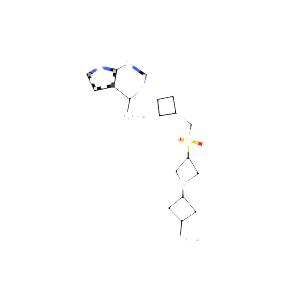 CNC1c2cc[nH]c2N=CN1[C@H]1C[C@H](CS(=O)(=O)C2CN(C3CC(OC)C3)C2)C1